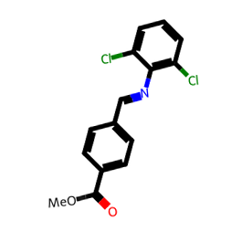 COC(=O)c1ccc(C=Nc2c(Cl)cccc2Cl)cc1